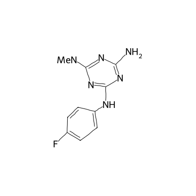 CNc1nc(N)nc(Nc2ccc(F)cc2)n1